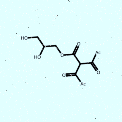 CC(=O)C(=O)C(C(=O)OCC(O)CO)C(=O)C(C)=O